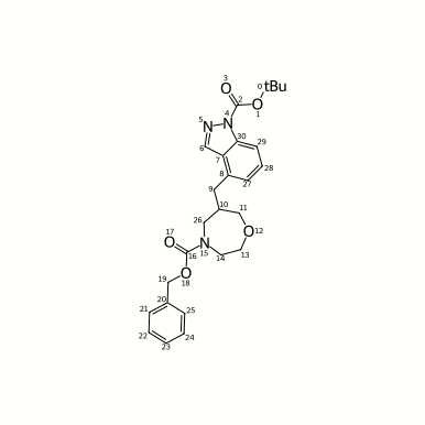 CC(C)(C)OC(=O)n1ncc2c(CC3COCCN(C(=O)OCc4ccccc4)C3)cccc21